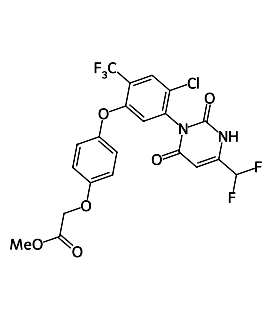 COC(=O)COc1ccc(Oc2cc(-n3c(=O)cc(C(F)F)[nH]c3=O)c(Cl)cc2C(F)(F)F)cc1